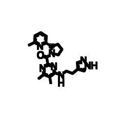 Cc1cccc([C@H]2CCCN2C(=O)c2nc(C)c(C)c(NCCc3cn[nH]c3)n2)n1